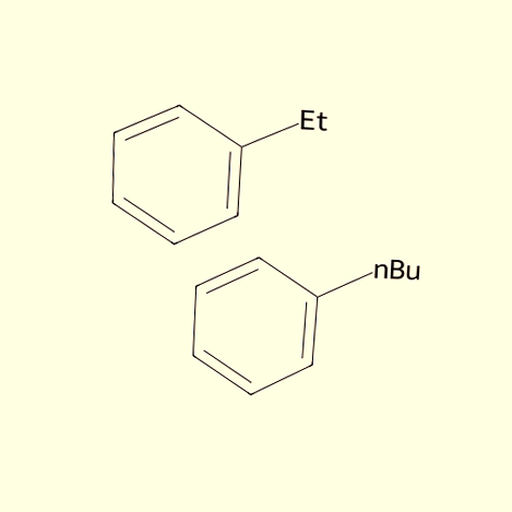 CCCCc1ccccc1.CCc1ccccc1